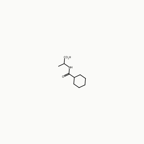 CC(NC(=O)C1CCCCC1)C(=O)O